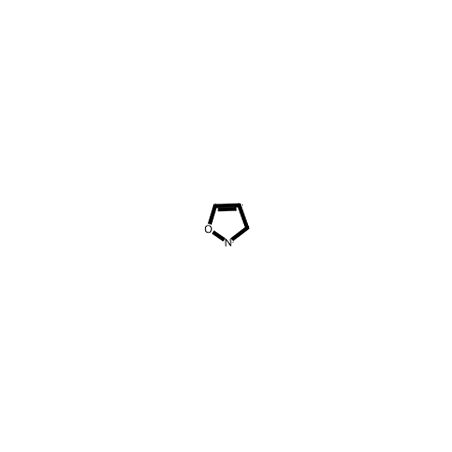 [C]1=CO[N]C1